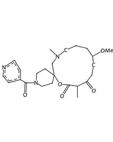 COC1CCCN(C)CC2(CCN(C(=O)c3ccncc3)CC2)OC(=O)C(C)C(=O)CC1